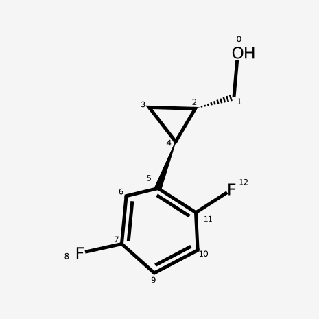 OC[C@H]1C[C@@H]1c1cc(F)ccc1F